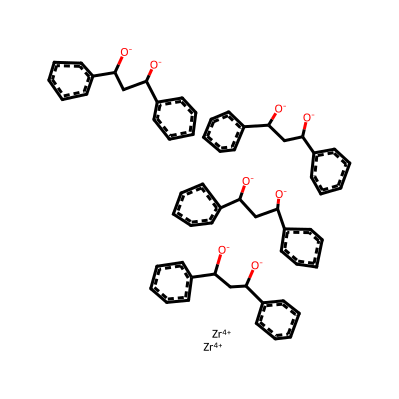 [O-]C(CC([O-])c1ccccc1)c1ccccc1.[O-]C(CC([O-])c1ccccc1)c1ccccc1.[O-]C(CC([O-])c1ccccc1)c1ccccc1.[O-]C(CC([O-])c1ccccc1)c1ccccc1.[Zr+4].[Zr+4]